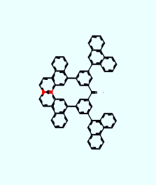 O=C(c1cc(-c2cc3ccccc3c3ccccc23)cc(-c2cc3ccccc3c3ccccc23)c1)c1cc(-c2cc3ccccc3c3ccccc23)cc(-c2cc3ccccc3c3ccccc23)c1